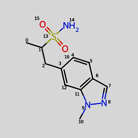 CC(Cc1ccc2cnn(C)c2c1)S(N)(=O)=O